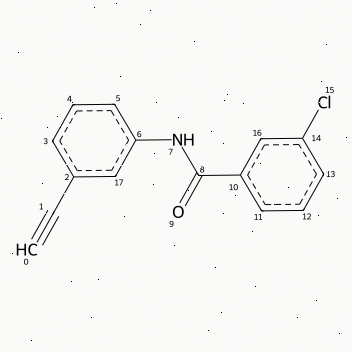 C#Cc1cccc(NC(=O)c2cccc(Cl)c2)c1